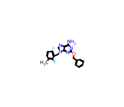 Cc1ccc(F)c(Cn2cnc3c(N)nc(OCc4ccccc4)nc32)c1F